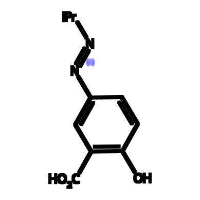 CC(C)/N=N/c1ccc(O)c(C(=O)O)c1